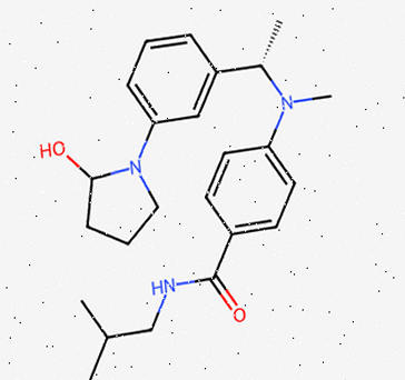 CC(C)CNC(=O)c1ccc(N(C)[C@@H](C)c2cccc(N3CCCC3O)c2)cc1